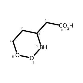 O=C(O)CC1BOOCC1